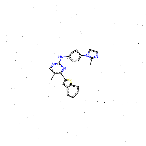 Cc1cnc(Nc2ccc(-n3ccnc3C)cc2)nc1-c1cc2ccccc2s1